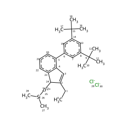 CCC1=Cc2c(-c3cc(C(C)(C)C)cc(C(C)(C)C)c3)cccc2[CH]1[Zr+2][Si](C)C.[Cl-].[Cl-]